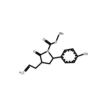 C=CCC1CC(c2ccc(C#N)cc2)N(C(=O)OC(C)(C)C)C1=O